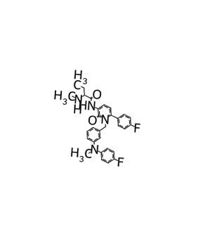 CCC(NC)C(=O)Nc1ccc(-c2ccc(F)cc2)n(Cc2cccc(N(C)c3ccc(F)cc3)c2)c1=O